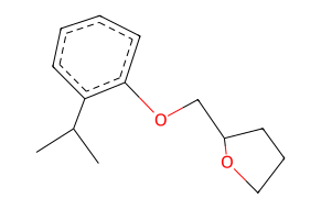 CC(C)c1ccccc1OCC1CCCO1